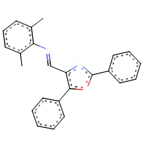 CC(C)c1cccc(C(C)C)c1/N=C/c1nc(-c2ccccc2)oc1-c1ccccc1